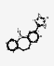 [O-][S+]1c2ccccc2CCc2ccc(-c3nnn[nH]3)cc21